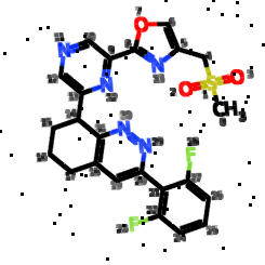 CS(=O)(=O)Cc1coc(-c2cncc(C3CCCc4cc(-c5c(F)cccc5F)nnc43)n2)n1